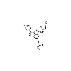 COC(=O)C=Cc1ccc(NC(=O)C2CCNCC2)c(C(=O)Nc2ccc(Cl)cn2)c1